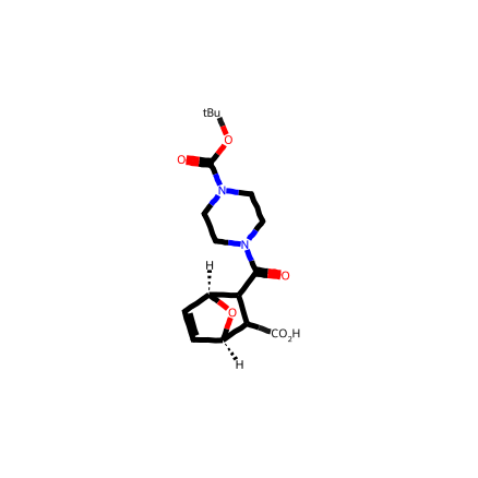 CC(C)(C)OC(=O)N1CCN(C(=O)C2C(C(=O)O)[C@H]3C=C[C@@H]2O3)CC1